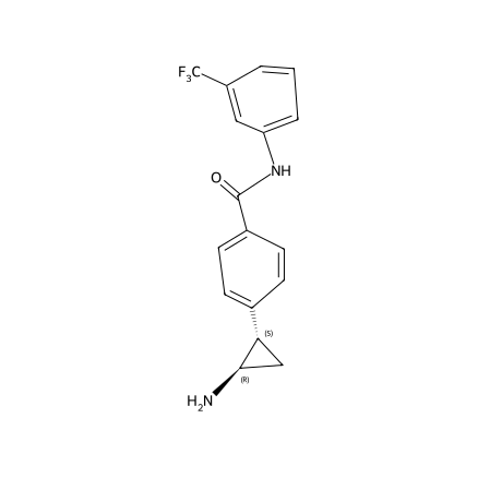 N[C@@H]1C[C@H]1c1ccc(C(=O)Nc2cccc(C(F)(F)F)c2)cc1